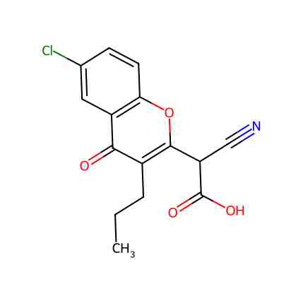 CCCc1c(C(C#N)C(=O)O)oc2ccc(Cl)cc2c1=O